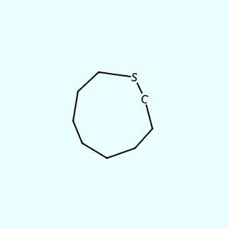 C1CCCCSCCC1